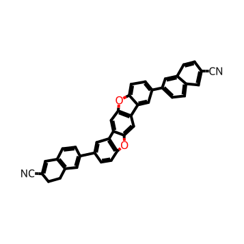 N#CC1=Cc2ccc(-c3ccc4oc5cc6c(cc5c4c3)oc3ccc(-c4ccc5cc(C#N)ccc5c4)cc36)cc2CC1